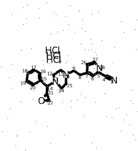 Cl.Cl.Cl.N#Cc1cc(CCN2CCN(C(c3ccccc3)C3CO3)CC2)ccn1